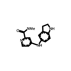 CNC(=O)c1cc(Nc2ccc3c(c2)CCN3)ccn1